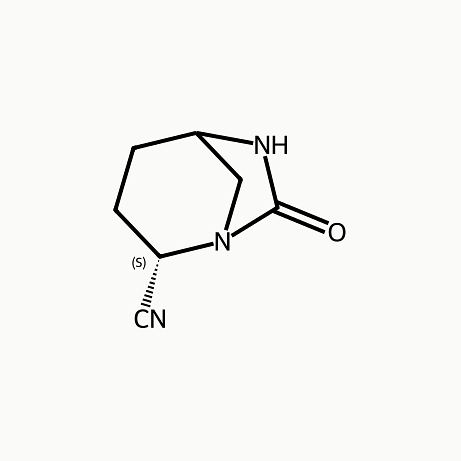 N#C[C@@H]1CCC2CN1C(=O)N2